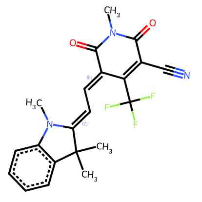 CN1C(=O)C(C#N)=C(C(F)(F)F)/C(=C\C=C2/N(C)c3ccccc3C2(C)C)C1=O